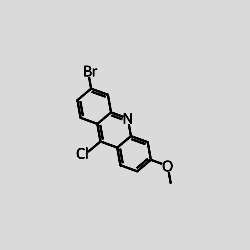 COc1ccc2c(Cl)c3ccc(Br)cc3nc2c1